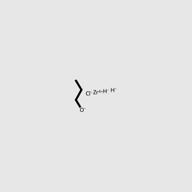 CCC[O-].[Cl-].[H-].[H-].[Zr+4]